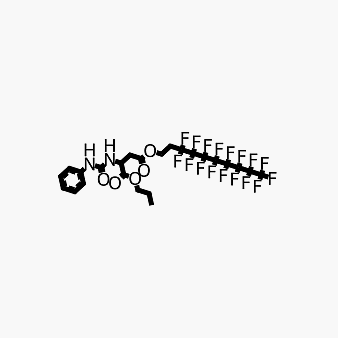 CCCOC(=O)C(CC(=O)OCCC(F)(F)C(F)(F)C(F)(F)C(F)(F)C(F)(F)C(F)(F)C(F)(F)C(F)(F)F)NC(=O)Nc1ccccc1